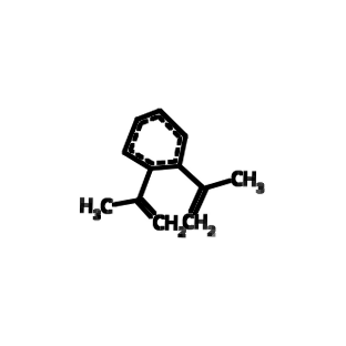 C=C(C)c1ccccc1C(=C)C